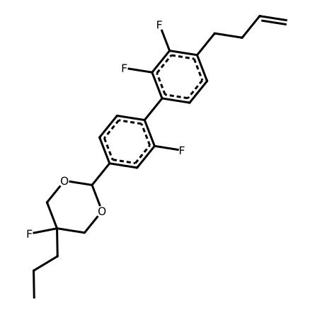 C=CCCc1ccc(-c2ccc(C3OCC(F)(CCC)CO3)cc2F)c(F)c1F